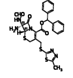 Cc1nnc(SCC2=C(C(=O)OC(c3ccccc3)c3ccccc3)N3C(=O)[C@](N)(NC=O)[C@H]3SC2)s1